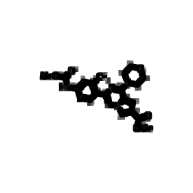 COC(=O)Nc1cc(C(F)(F)F)c(-c2nc(N3CCOCC3)c3cc(C(=O)OC)cn3n2)cn1